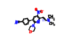 CN(C)/C=C/c1nc(N2CCOCC2)c(-c2ccc(C#N)cc2)cc1[N+](=O)[O-]